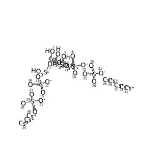 O=S(=O)(O)O.O=S(=O)(O)O.O=S(=O)(O)O.O=S(=O)(O)O.O=S(=O)([O-])[O-].O=S(=O)([O-])[O-].O=S(=O)([O-])[O-].O=S(=O)([O-])[O-].[Cs+].[Cs+].[Cs+].[Cs+].[Cs+].[Cs+].[Cs+].[Cs+]